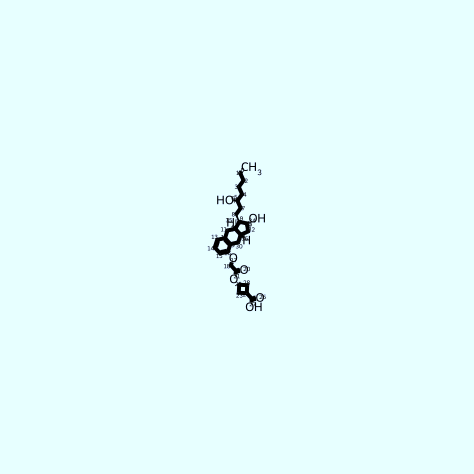 CCCCC[C@H](O)CC[C@@H]1[C@H]2Cc3cccc(OCC(=O)OC4CC(C(=O)O)C4)c3C[C@H]2C[C@H]1O